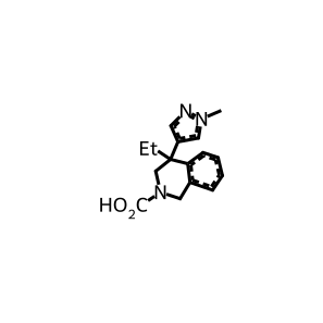 CCC1(c2cnn(C)c2)CN(C(=O)O)Cc2ccccc21